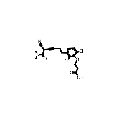 CN(C)C(=O)C(C#N)C#CCCc1ccc(Cl)c(OCCC(=O)O)c1Cl